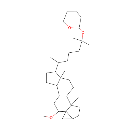 COC1CC2C3CCC(C(C)CCCC(C)(C)OC4CCCCO4)C3(C)CCC2C2(C)CCC3CC312